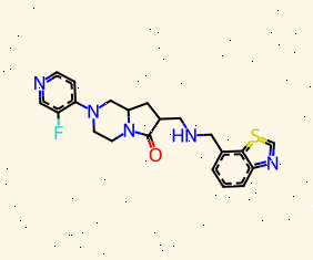 O=C1C(CNCc2cccc3ncsc23)CC2CN(c3ccncc3F)CCN12